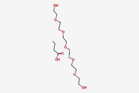 CCCC(=O)O.OCCOCCOCCOCCOCCOCCO